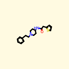 O=C(Cc1cccs1)NC1CCN(CCc2ccccc2)CC1